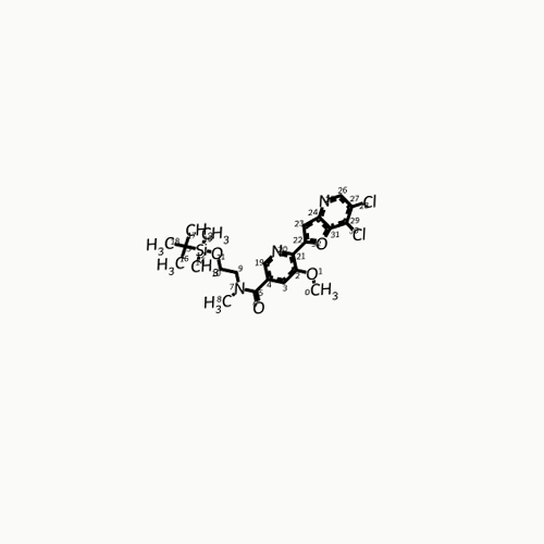 COc1cc(C(=O)N(C)CCO[Si](C)(C)C(C)(C)C)cnc1-c1cc2ncc(Cl)c(Cl)c2o1